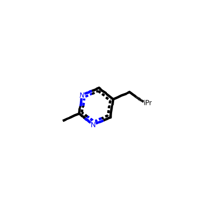 Cc1ncc(CC(C)C)cn1